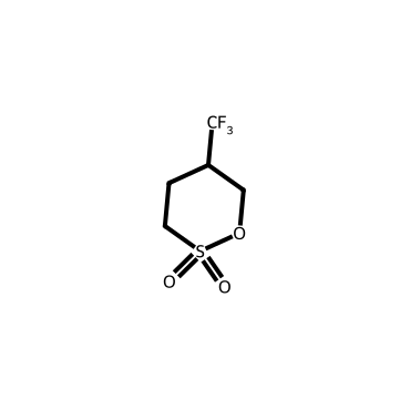 O=S1(=O)CCC(C(F)(F)F)CO1